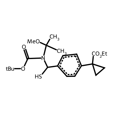 CCOC(=O)C1(c2ccc(C(S)N(C(=O)OC(C)(C)C)C(C)(C)OC)cc2)CC1